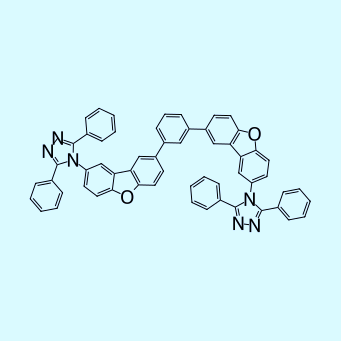 c1ccc(-c2nnc(-c3ccccc3)n2-c2ccc3oc4ccc(-c5cccc(-c6ccc7oc8ccc(-n9c(-c%10ccccc%10)nnc9-c9ccccc9)cc8c7c6)c5)cc4c3c2)cc1